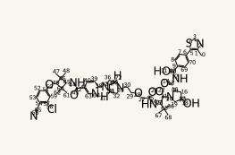 Cc1ncsc1-c1ccc([C@H](O)NC(=O)[C@@H]2C[C@@H](O)CN2C(=O)[C@@H](NC(=O)COCCN2C[C@H]3C[C@@H]2CN3c2ccc(C(=O)N[C@H]3C(C)(C)[C@H](Oc4ccc(C#N)c(Cl)c4)C3(C)C)cn2)C(C)(C)C)cc1